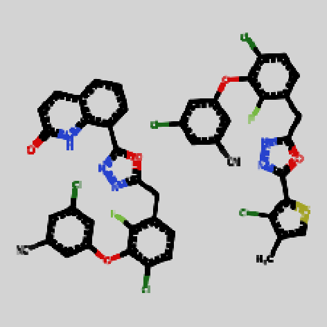 Cc1csc(-c2nnc(Cc3ccc(Cl)c(Oc4cc(Cl)cc(C#N)c4)c3F)o2)c1Cl.N#Cc1cc(Cl)cc(Oc2c(Cl)ccc(Cc3nnc(-c4cccc5ccc(=O)[nH]c45)o3)c2F)c1